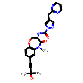 CN1C(=O)[C@H](NC(=O)n2cc(Cc3ncccn3)cn2)COc2ccc(C#CC(C)(C)O)cc21